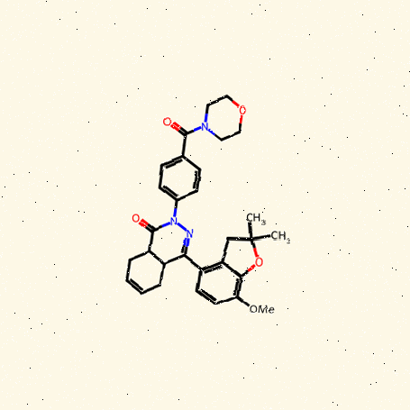 COc1ccc(C2=NN(c3ccc(C(=O)N4CCOCC4)cc3)C(=O)C3CC=CCC23)c2c1OC(C)(C)C2